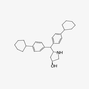 O[C@@H]1CNC(C(c2ccc(C3CCCCC3)cc2)c2ccc(C3CCCCC3)cc2)C1